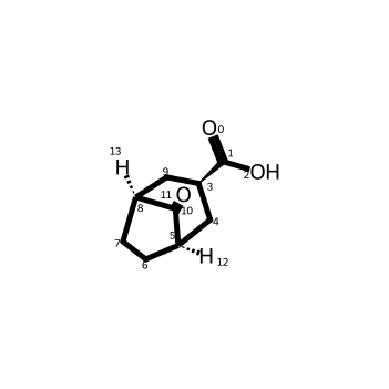 O=C(O)[C@H]1C[C@H]2CC[C@@H](C1)C2=O